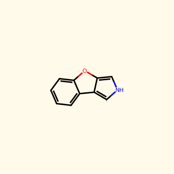 [c]1[nH]cc2oc3ccccc3c12